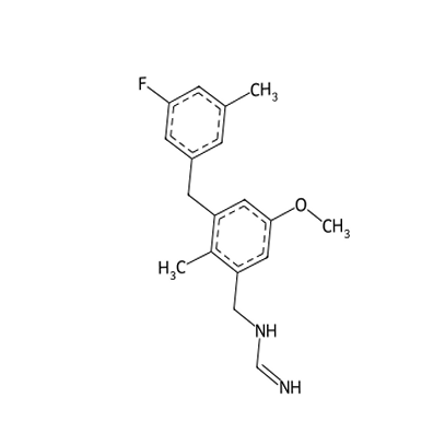 COc1cc(CNC=N)c(C)c(Cc2cc(C)cc(F)c2)c1